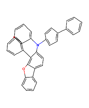 c1ccc(-c2ccc(N(c3ccccc3)c3ccc4c(oc5ccccc54)c3-c3ccccc3)cc2)cc1